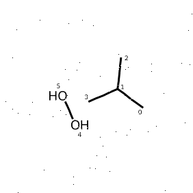 CC(C)C.OO